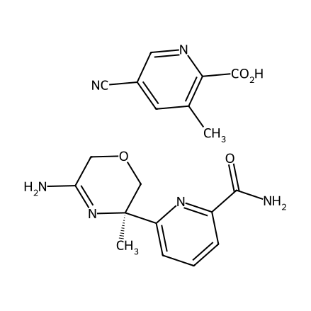 C[C@@]1(c2cccc(C(N)=O)n2)COCC(N)=N1.Cc1cc(C#N)cnc1C(=O)O